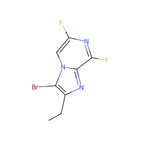 CCc1nc2c(F)nc(F)cn2c1Br